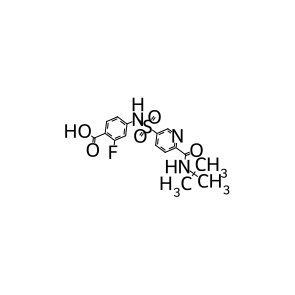 CC(C)(C)NC(=O)c1ccc(S(=O)(=O)Nc2ccc(C(=O)O)c(F)c2)cn1